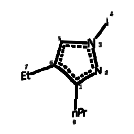 CCCc1nn(I)cc1CC